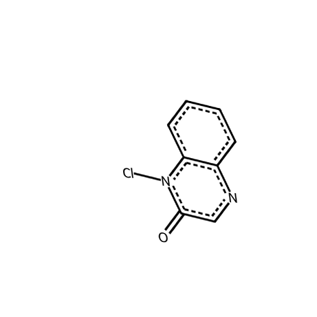 O=c1cnc2ccccc2n1Cl